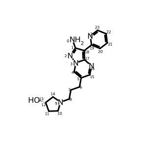 Nc1nn2cc(CCCN3CC[C@H](O)C3)cnc2c1-c1ccccn1